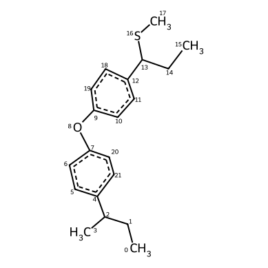 CCC(C)c1ccc(Oc2ccc(C(CC)SC)cc2)cc1